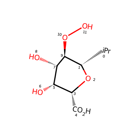 CC(C)[C@@H]1O[C@H](C(=O)O)[C@H](O)[C@H](O)[C@H]1OO